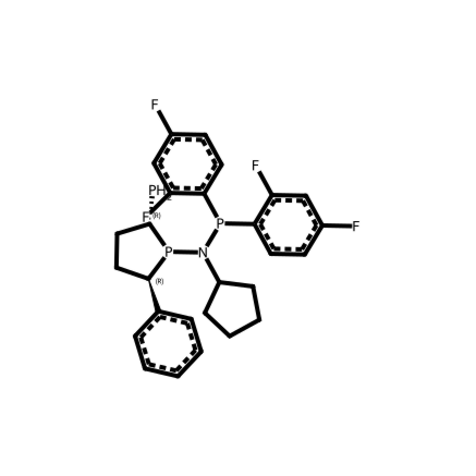 Fc1ccc(P(c2ccc(F)cc2F)N(C2CCCC2)P2[C@@H](c3ccccc3)CC[C@@H]2P)c(F)c1